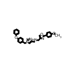 COc1ccc(-c2nc(CNCc3cn(Cc4ccc(Oc5ccccc5)cc4)nn3)co2)cc1